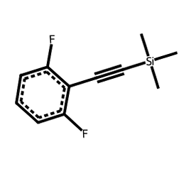 C[Si](C)(C)C#Cc1c(F)cccc1F